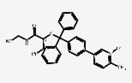 Cc1ccc(-c2ccc(C(O[C@@H](CC(C)C)C(=O)NCC#N)(c3ccccc3)c3ccccc3)cc2)c[n+]1[O-]